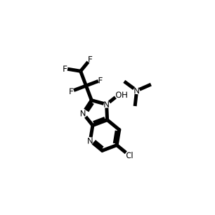 CN(C)C.On1c(C(F)(F)C(F)F)nc2ncc(Cl)cc21